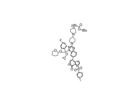 Cc1ccc(S(=O)(=O)n2ccc3c(-c4ccc5nc(N6CCC(N7CCC(C)(NC(=O)OC(C)(C)C)CC7)CC6)nc(C(COC6CCCCO6)(OC6CC6)c6ccc(F)cc6)c5c4)cn(C)c(=O)c32)cc1